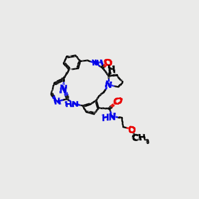 COCCNC(=O)c1ccc2cc1CN1CCC[C@H]1C(=O)NCc1cccc(c1)-c1ccnc(n1)N2